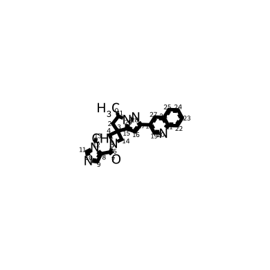 CC1CC2(CN(C(=O)c3cncn3C)C2)c2cc(-c3cnc4ccccc4c3)nn21